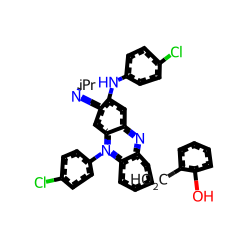 CC(C)N=c1cc2n(-c3ccc(Cl)cc3)c3ccccc3nc-2cc1Nc1ccc(Cl)cc1.O=C(O)c1ccccc1O